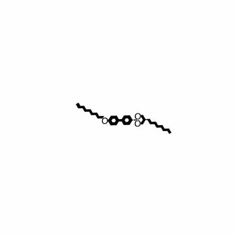 C=CCCCCCCCOc1ccc(-c2ccc([C@H]3OC[C@H](CCCCCCCC)CO3)cc2)cc1